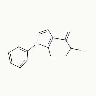 CCCC(CCC)C(=O)c1cnn(-c2ccccc2)c1Cl